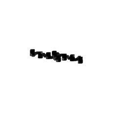 C(CSCC1CSC(CSCCSCC2CS2)CS1)SCC1CS1